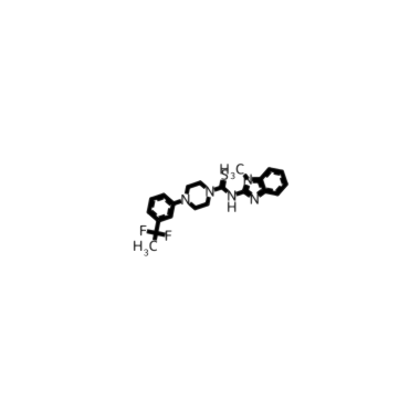 Cn1c(NC(=S)N2CCN(c3cccc(C(C)(F)F)c3)CC2)nc2ccccc21